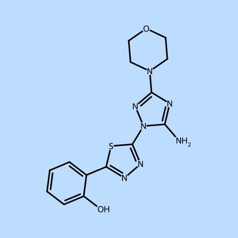 Nc1nc(N2CCOCC2)nn1-c1nnc(-c2ccccc2O)s1